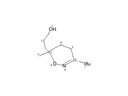 CC1(CO)CCC(C(C)(C)C)=NO1